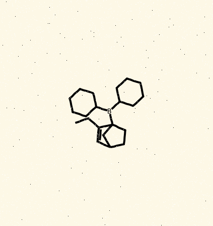 CCC1=CC2CCC1(B(C1CCCCC1)C1CCCCC1)C2